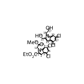 CCOC(=O)c1cc2c(Cl)cc(Cl)cc2n1CC(=O)OC.OCCn1c(CO)cc2c(Cl)cc(Cl)cc21